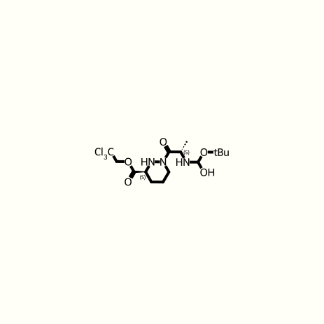 C[C@H](NC(O)OC(C)(C)C)C(=O)N1CCC[C@@H](C(=O)OCC(Cl)(Cl)Cl)N1